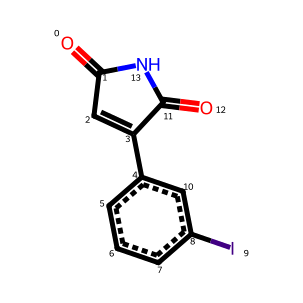 O=C1C=C(c2cccc(I)c2)C(=O)N1